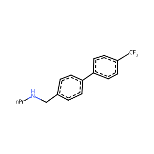 CCCNCc1ccc(-c2ccc(C(F)(F)F)cc2)cc1